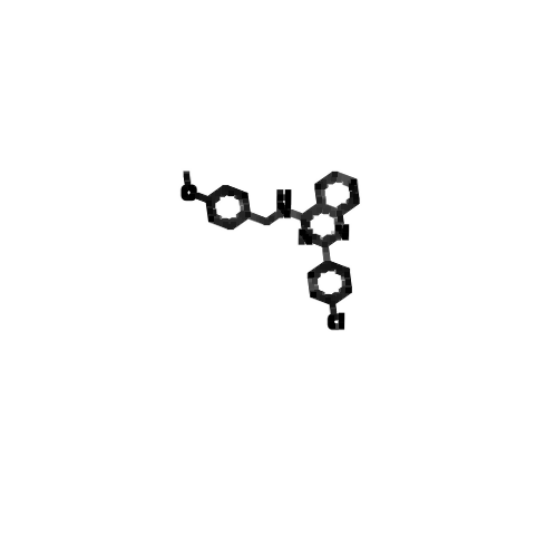 COc1ccc(CNc2nc(-c3ccc(Cl)cc3)nc3ccccc23)cc1